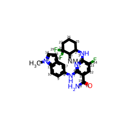 CNC1C(Nc2nc(Nc3ccc4c(ccn4C)c3)c(C(N)=O)cc2F)CCCC1(F)F